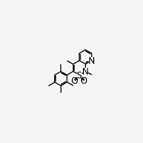 CC1=C(c2c(C)cc(C)c(C)c2C)S(=O)(=O)N(C)c2ncccc21